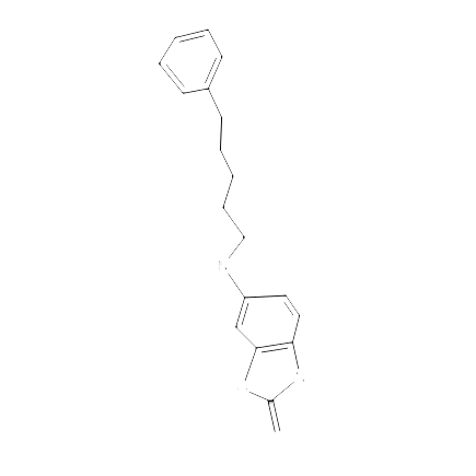 O=c1[nH]c2ccc(NCCCCCc3ccccc3)cc2o1